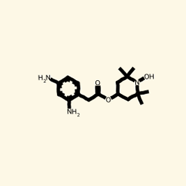 CC1(C)CC(OC(=O)Cc2ccc(N)cc2N)CC(C)(C)N1O